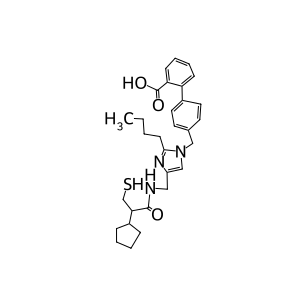 CCCCc1nc(CNC(=O)C(CS)C2CCCC2)cn1Cc1ccc(-c2ccccc2C(=O)O)cc1